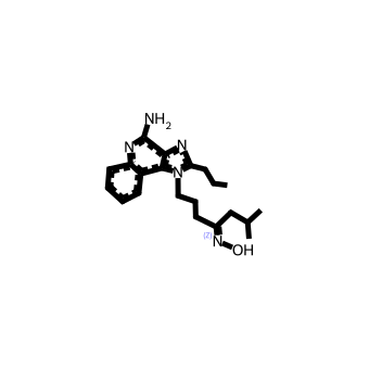 CCCc1nc2c(N)nc3ccccc3c2n1CCC/C(CC(C)C)=N/O